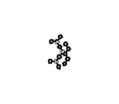 c1ccc(-c2cccc(-c3cc(-c4cccc(-c5ccccc5)c4)c4nc(-c5ccc(-c6nc(-c7ccccc7)cc(-c7ccccc7)n6)cc5)nc(-c5ccc(-c6nc(-c7ccccc7)nc(-c7ccccc7)n6)cc5)c4c3)c2)cc1